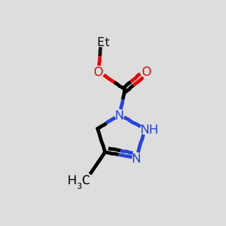 CCOC(=O)N1CC(C)=NN1